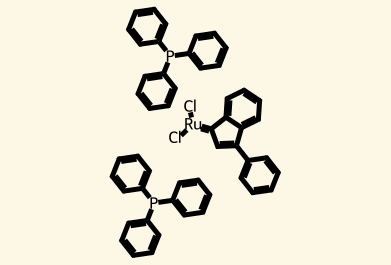 [Cl][Ru]([Cl])=[C]1C=C(c2ccccc2)c2ccccc21.c1ccc(P(c2ccccc2)c2ccccc2)cc1.c1ccc(P(c2ccccc2)c2ccccc2)cc1